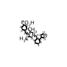 C[C@@H]1CN(Cc2ccccc2-c2ccoc2)C[C@H](C)N1Cc1ccc(C(=O)O)cc1